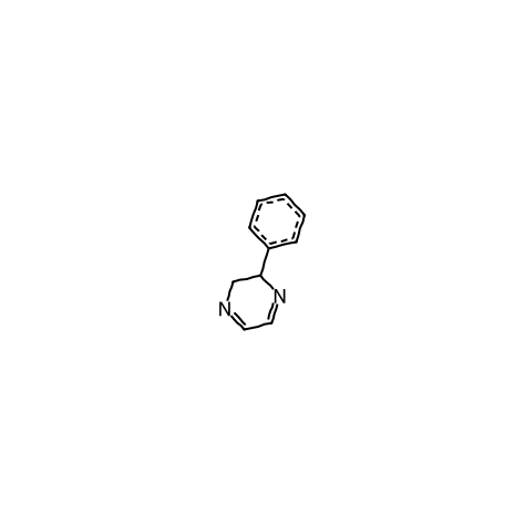 C1=NCC(c2ccccc2)N=C1